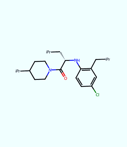 CC(C)Cc1cc(Cl)ccc1N[C@@H](CC(C)C)C(=O)N1CCC(C(C)C)CC1